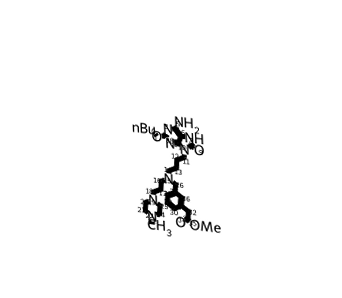 CCCCOc1nc(N)c2[nH]c(=O)n(CCCCN(CCCN3CCN(C)CC3)Cc3cccc(CC(=O)OC)c3)c2n1